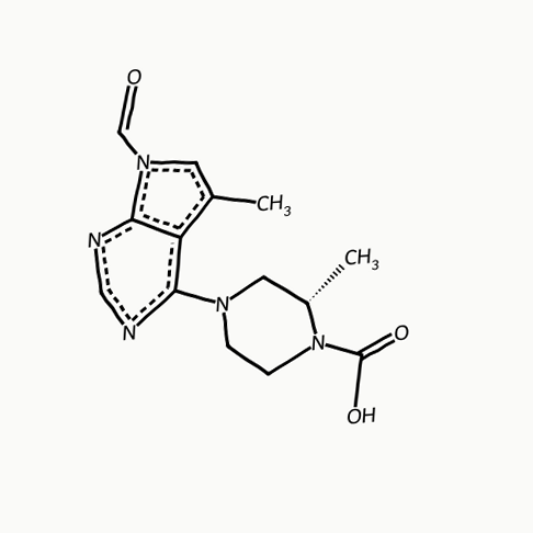 Cc1cn(C=O)c2ncnc(N3CCN(C(=O)O)[C@@H](C)C3)c12